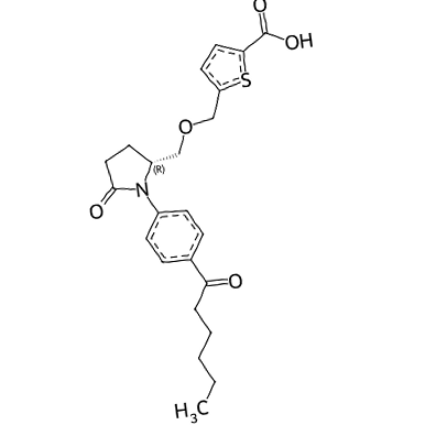 CCCCCC(=O)c1ccc(N2C(=O)CC[C@@H]2COCc2ccc(C(=O)O)s2)cc1